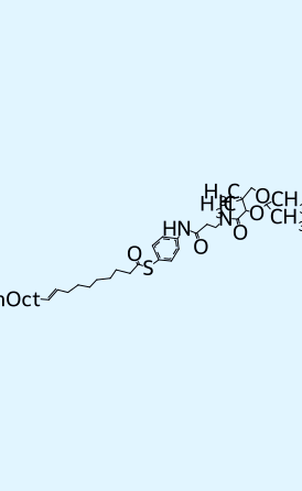 CCCCCCCCC=CCCCCCCCC(=O)Sc1ccc(NC(=O)CCNC(=O)C2OC(C)(C)OCC2(C)C)cc1